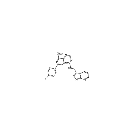 COc1cc(-c2ccc(F)cc2)cc2c(NCc3nnc4ncccn34)ncnc12